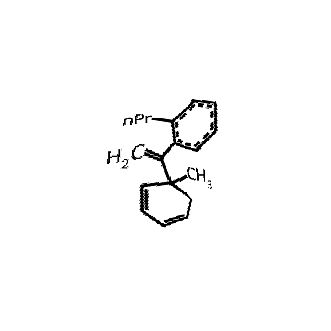 C=C(c1ccccc1CCC)C1(C)C=CC=CC1